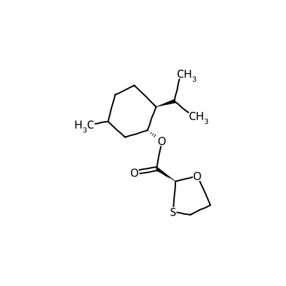 CC1CC[C@@H](C(C)C)[C@H](OC(=O)[C@H]2OCCS2)C1